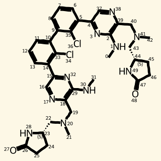 CNc1nc(-c2cccc(-c3cccc(-c4cnc(CN(C)C[C@@H]5CCC(=O)N5)c(NC)n4)c3Cl)c2Cl)cnc1CN(C)C[C@@H]1CCC(=O)N1